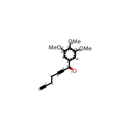 C#CCCC#CC(=O)c1cc(OC)c(OC)c(OC)c1